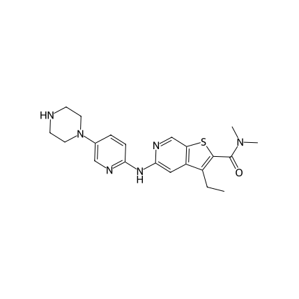 CCc1c(C(=O)N(C)C)sc2cnc(Nc3ccc(N4CCNCC4)cn3)cc12